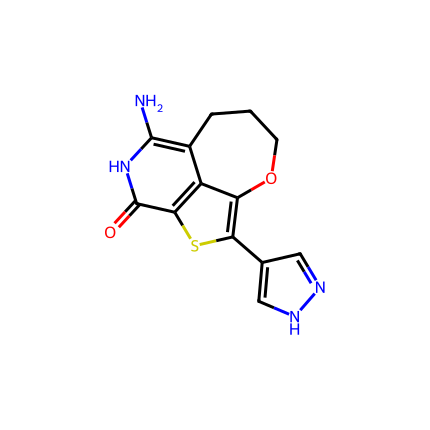 Nc1[nH]c(=O)c2sc(-c3cn[nH]c3)c3c2c1CCCO3